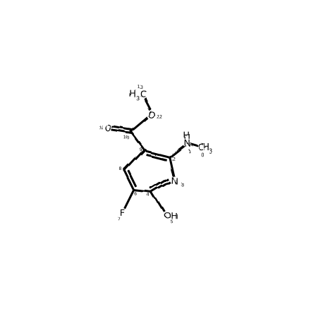 CNc1nc(O)c(F)cc1C(=O)OC